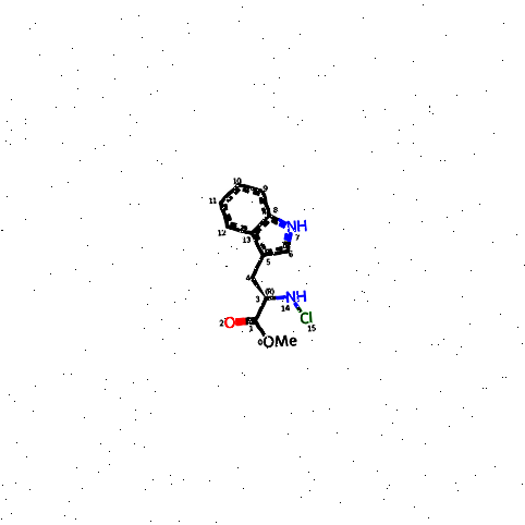 COC(=O)[C@@H](Cc1c[nH]c2ccccc12)NCl